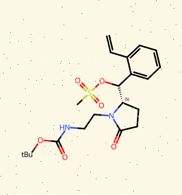 C=Cc1ccccc1C(OS(C)(=O)=O)[C@@H]1CCC(=O)N1CCNC(=O)OC(C)(C)C